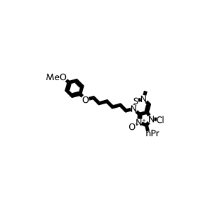 CCCC1N(Cl)C2=CN(C)SN(CCCCCCOc3ccc(OC)cc3)C2=[N+]1[O-]